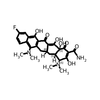 CN(C)c1c2c(c(O)c3cc(F)ccc13)C(=O)C1=C(O)[C@]3(O)C(=O)C(C(N)=O)=C(O)[C@@H](N(C)C)[C@@H]3C[C@@H]1C2